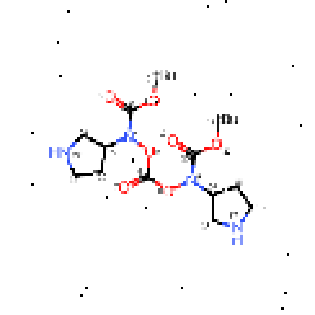 CC(C)(C)OC(=O)N(OC(=O)ON(C(=O)OC(C)(C)C)C1CCNC1)C1CCNC1